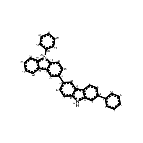 c1ccc(-c2ccc3c(c2)[nH]c2ccc(-c4ccc5c(c4)c4ccccc4n5-c4ccccc4)cc23)cc1